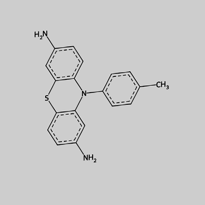 Cc1ccc(N2c3ccc(N)cc3Sc3ccc(N)cc32)cc1